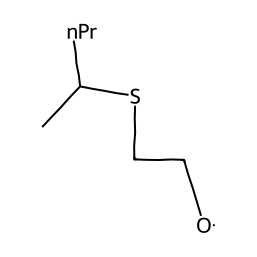 CCCC(C)SCC[O]